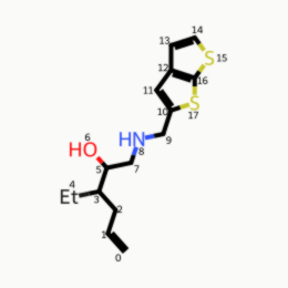 C=CCC(CC)C(O)CNCc1cc2ccsc2s1